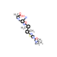 Cc1c(-c2nc3cc(CN4CCC(C)(C(=O)O)C4)cc(C#N)c3o2)cccc1-c1cccc(-c2nc3c(s2)CN(C(=O)CN(C)C(C)C)C3)c1C